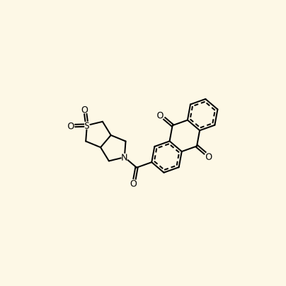 O=C1c2ccccc2C(=O)c2cc(C(=O)N3CC4CS(=O)(=O)CC4C3)ccc21